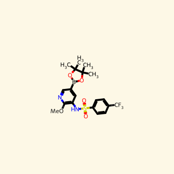 COc1ncc(B2OC(C)(C)C(C)(C)O2)cc1NS(=O)(=O)c1ccc(C(F)(F)F)cc1